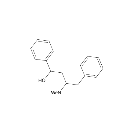 CNC(Cc1ccccc1)CC(O)c1ccccc1